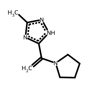 C=C(c1nc(C)n[nH]1)N1CCCC1